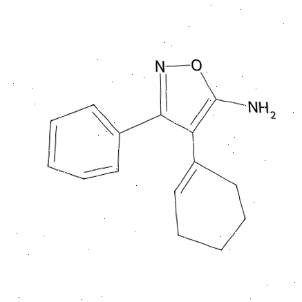 Nc1onc(-c2ccccc2)c1C1=CCCCC1